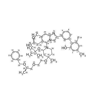 Cc1cc(O)c(-c2cccc(-c3cn4c(N5CCC(C)(OCCOC[C@@H](C)OCc6ccccc6)CC5)c([C@H](OC(C)(C)C)C(=O)O)c(C)cc4n3)c2)c(F)c1